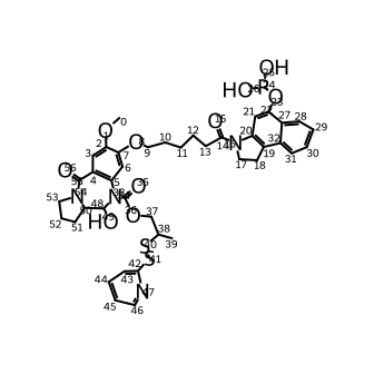 COc1cc2c(cc1OCCCCCC(=O)N1CCc3c1cc(OP(O)O)c1ccccc31)N(C(=O)OCC(C)SSc1ccccn1)C(O)C1CCCN1C2=O